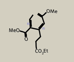 C=C(/C=C(CCC(=O)OCC)\C(=C/C)C(=O)OC)OC